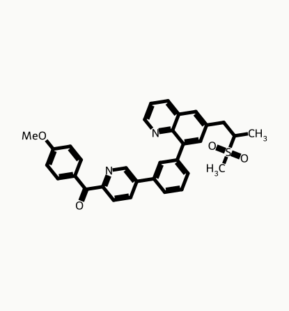 COc1ccc(C(=O)c2ccc(-c3cccc(-c4cc(CC(C)S(C)(=O)=O)cc5cccnc45)c3)cn2)cc1